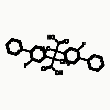 CC(C(=O)O)(c1ccc(-c2ccccc2)c(F)c1)C(C)(C(=O)O)c1ccc(-c2ccccc2)c(F)c1